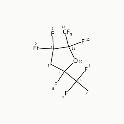 CCC1(F)CC(F)(C(C)(F)F)OC1(F)C(F)(F)F